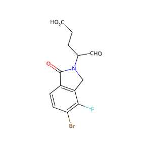 O=CC(CCC(=O)O)N1Cc2c(ccc(Br)c2F)C1=O